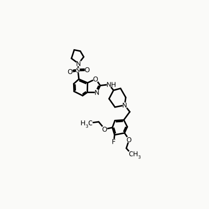 CCOc1cc(CN2CCC(Nc3nc4cccc(S(=O)(=O)N5CCCC5)c4o3)CC2)cc(OCC)c1F